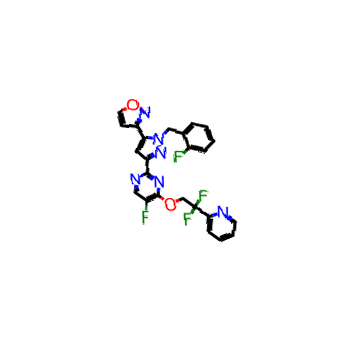 Fc1ccccc1Cn1nc(-c2ncc(F)c(OCC(F)(F)c3ccccn3)n2)cc1-c1ccon1